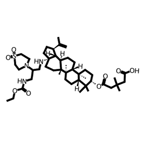 C=C(C)[C@@H]1CC[C@]2(NCC(CNC(=O)OCC)N3CCS(=O)(=O)CC3)CC[C@]3(C)[C@H](CC[C@@H]4[C@@]5(C)CC[C@H](OC(=O)CC(C)(C)CC(=O)O)C(C)(C)[C@@H]5CC[C@]43C)[C@@H]12